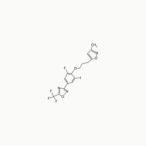 Cc1cc(CCCOc2c(F)cc(-c3noc(C(F)(F)F)n3)cc2I)on1